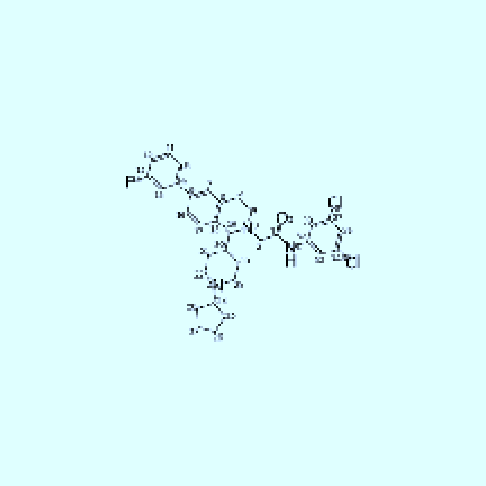 O=C(CN1CCc2cc(-c3cccc(F)c3)ccc2C1C1CCN(C2CCCC2)CC1)Nc1cc(Cl)cc(Cl)c1